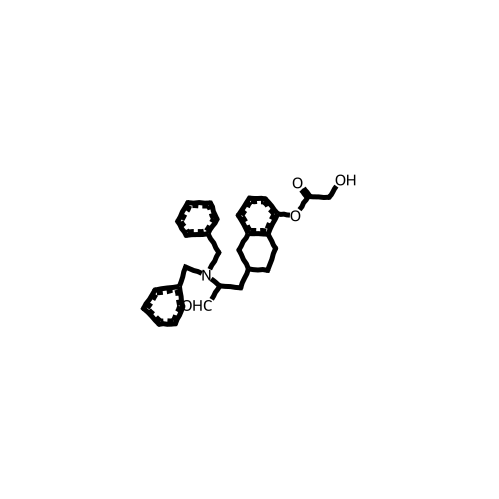 O=CC(CC1CCc2c(cccc2OC(=O)CO)C1)N(Cc1ccccc1)Cc1ccccc1